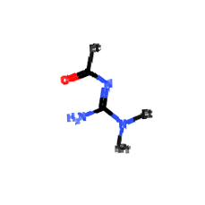 CCCN(CC)/C(N)=N/C(=O)CC